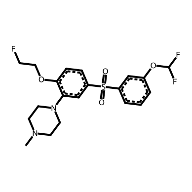 CN1CCN(c2cc(S(=O)(=O)c3cccc(OC(F)F)c3)ccc2OCCF)CC1